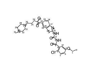 CCOc1ccc(Cl)c(C(=O)NC(=O)Nc2nc3ccc(S(=O)(=O)CCCN4CCN(C)CC4)cc3s2)c1